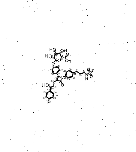 COC(=O)[C@H]1O[C@@H](Oc2ccc([C@@H]3C(CC[C@H](O)c4ccc(F)cc4)C(=O)N3c3ccc(CCCNS(C)(=O)=O)cc3)cc2)[C@H](O)[C@@H](O)[C@@H]1O